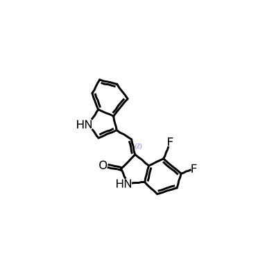 O=C1Nc2ccc(F)c(F)c2/C1=C/c1c[nH]c2ccccc12